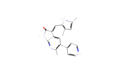 Cc1cc(C)c(C=C2C(=O)Nc3nc(C)c(-c4ccncc4)cc32)[nH]1